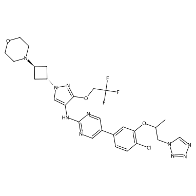 CC(Cn1cnnn1)Oc1cc(-c2cnc(Nc3cn([C@H]4C[C@H](N5CCOCC5)C4)nc3OCC(F)(F)F)nc2)ccc1Cl